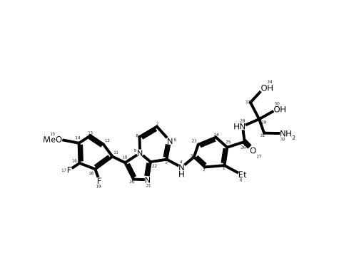 CCc1cc(Nc2nccn3c(-c4ccc(OC)c(F)c4F)cnc23)ccc1C(=O)NC(O)(CN)CO